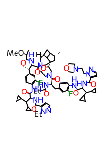 CCC(=O)N[C@@H](C(=O)N1CCOC([C@]23C[C@@H](C)C4C[C@H](CN(C(=O)[C@H](NC(=O)[C@H](C)OC)[C@@H](C)c5ccc(NC(=O)[C@@H](NC(=O)c6ccnn6CC)C(C6CC6)C6CC6)c(F)c5)C2)C43)C1)[C@@H](C)c1ccc(NC(=O)[C@@H](NC(=O)c2ccnn2CCN2CCOCC2)C(C2CC2)C2CC2)c(F)c1